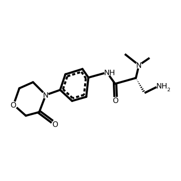 CN(C)[C@H](CN)C(=O)Nc1ccc(N2CCOCC2=O)cc1